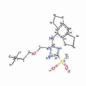 C[Si](C)(C)CCOCn1nc(S(=O)(=O)Cl)nc1Nc1c2c(cc3c1CCC3)CCC2